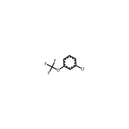 FC(F)(F)Oc1c[c]cc(Cl)c1